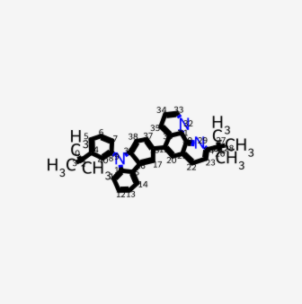 CC(C)(C)c1cccc(-n2c3ccccc3c3cc(-c4cc5ccc(C(C)(C)C)nc5c5ncccc45)ccc32)c1